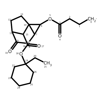 [CH2]CCC(=O)OC1C2OC(=O)C3CCC12C3C(=O)OC1(CC)CCCCC1